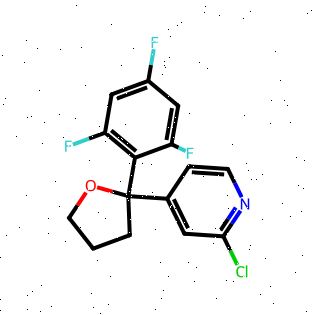 Fc1cc(F)c(C2(c3ccnc(Cl)c3)CCCO2)c(F)c1